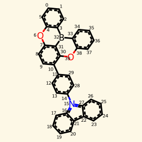 c1ccc2c(c1)Oc1ccc(-c3ccc(-n4c5ccccc5c5ccccc54)cc3)c3c1B2c1ccccc1O3